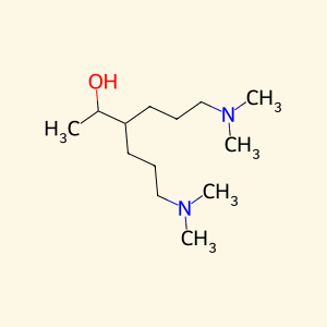 CC(O)C(CCCN(C)C)CCCN(C)C